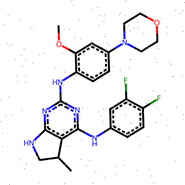 COc1cc(N2CCOCC2)ccc1Nc1nc2c(c(Nc3ccc(F)c(F)c3)n1)C(C)CN2